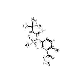 COC(=O)c1cc(N(C(=O)OC(C)(C)C)S(C)(=O)=O)ccc1O